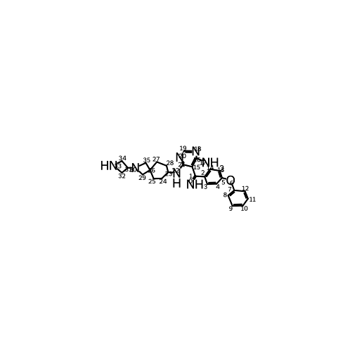 N=C(c1ccc(Oc2ccccc2)cc1)c1c(N)ncnc1NC1CCC2(CC1)CN(C1CNC1)C2